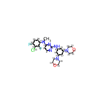 CN(c1ccnc(Nc2cc(N3CCOCC3)cc(N3CCOCC3)c2)n1)c1ccc(F)c(Cl)c1F